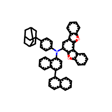 c1ccc2c(-c3ccc(N(c4ccc(C56CC7CC(CC(C7)C5)C6)cc4)c4cc5c6ccccc6oc5c5c4oc4ccccc45)c4ccccc34)cccc2c1